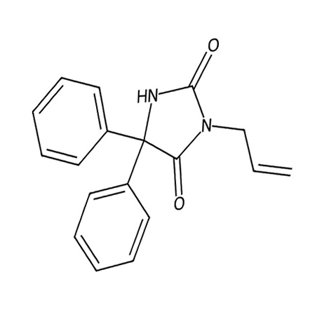 C=CCN1C(=O)NC(c2ccccc2)(c2ccccc2)C1=O